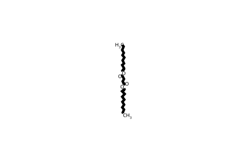 CCCCCCCCCC=COC(=O)CCC(=O)OC=CCCCCCCCCC